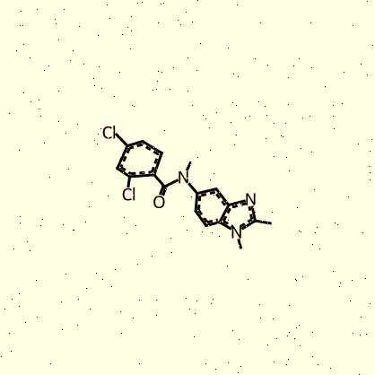 Cc1nc2cc(N(C)C(=O)c3ccc(Cl)cc3Cl)ccc2n1C